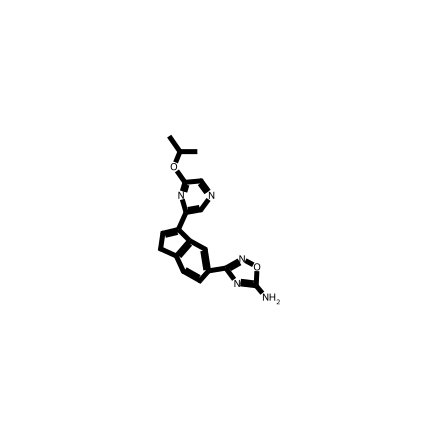 CC(C)Oc1cncc(C2=CCc3ccc(-c4noc(N)n4)cc32)n1